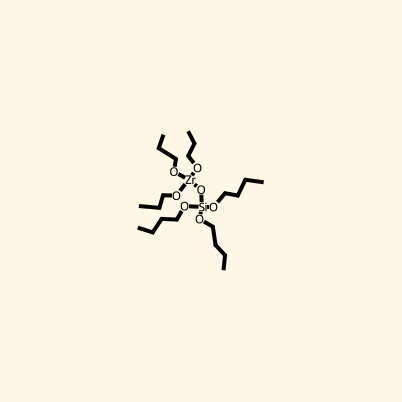 CCCCO[Si](OCCCC)(OCCCC)[O][Zr]([O]CCC)([O]CCC)[O]CCC